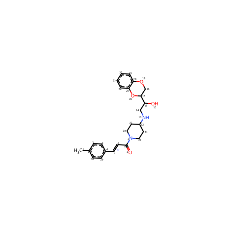 Cc1ccc(/C=C/C(=O)N2CCC(NCC(O)C3COc4ccccc4O3)CC2)cc1